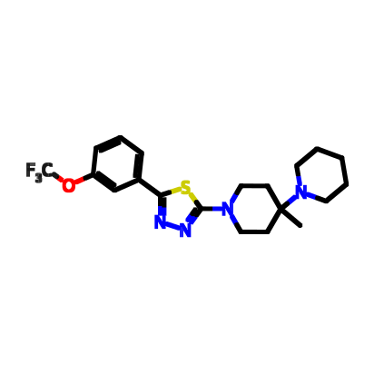 CC1(N2CCCCC2)CCN(c2nnc(-c3cccc(OC(F)(F)F)c3)s2)CC1